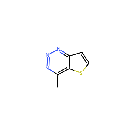 Cc1nnnc2ccsc12